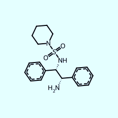 N[C@@H](c1ccccc1)[C@@H](NS(=O)(=O)N1CCCCC1)c1ccccc1